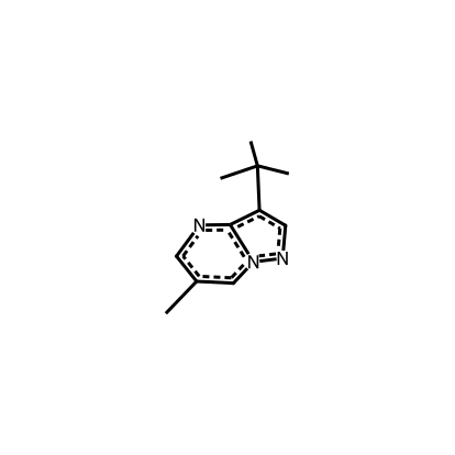 Cc1cnc2c(C(C)(C)C)cnn2c1